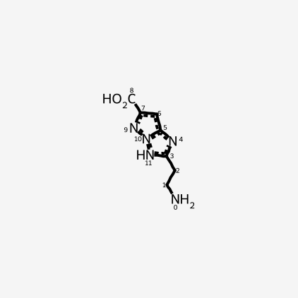 NCCc1nc2cc(C(=O)O)nn2[nH]1